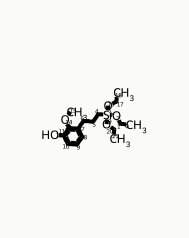 CCO[Si](CCCc1cccc(O)c1OC)(OCC)OCC